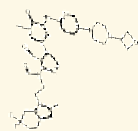 Cc1cc2c(n1CCN(C=O)c1nccc(-c3cc(Nc4ccc(N5CCN(C6COC6)CC5)cn4)c(=O)n(C)c3)c1C=O)CC(F)(F)CC2